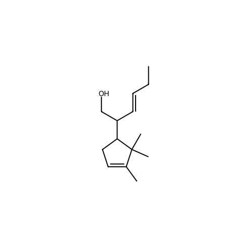 CCC=CC(CO)C1CC=C(C)C1(C)C